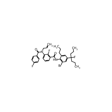 C=CCN(C(=O)c1ccc(F)cc1)c1cccc(C(=O)Nc2c(Br)cc(C(F)(CCC)CCC)cc2CCC)c1F